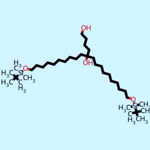 CC(C)(C)[Si](C)(C)OCCCCCCCCCCC(O)(CCCCO)CCCCCCCCCCO[Si](C)(C)C(C)(C)C